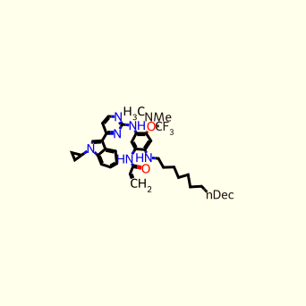 C=CC(=O)Nc1cc(Nc2nccc(-c3cn(C4CC4)c4ccccc34)n2)c(OC(F)(F)F)cc1NCCCCCCCCCCCCCCCCC.CNC